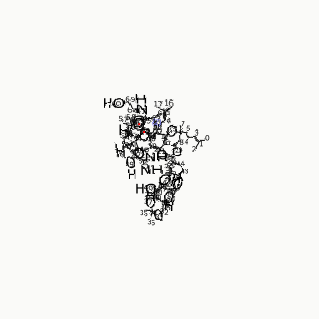 CC(C)=CCCC1(C)C=Cc2c(c(CC=C(C)C)c3c(c2OC(=O)c2ccc(O[C@@H]4O[C@@H]5COC(C)(C)O[C@H]5[C@H](O)[C@H]4O)cc2)C2=C4C(C(O)=C(N)N2)[C@@H]2C[C@@H]5C(C)(C)OC(C/C=C(/C)C(=O)NCCO)(C2=O)C45O3)O1